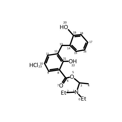 CCN(CC)C(C)OC(=O)c1cccc(Cc2ccccc2O)c1O.Cl